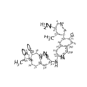 Cc1c(N)cncc1-c1cc2cc(Nc3cc4n(n3)CC(=O)N(C(C)C)CC4)ncc2cc1Cl